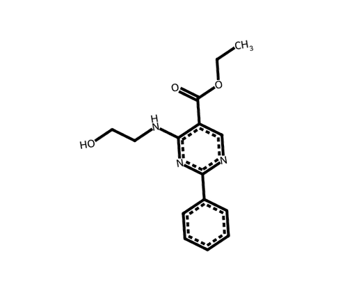 CCOC(=O)c1cnc(-c2ccccc2)nc1NCCO